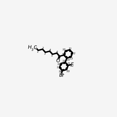 CCCCCCCC(=O)c1ccccc1-c1ccc(Br)cc1F